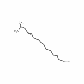 CCCCCCCCCCCCCCCCCCC=CCN(C)C